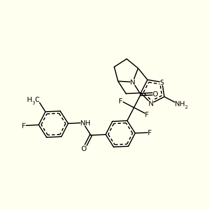 Cc1cc(NC(=O)c2ccc(F)c(C(F)(F)C(=O)N3C4CCC3c3sc(N)nc3C4)c2)ccc1F